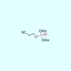 COP(=O)(OC)OCCC#N